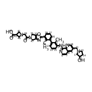 Cc1c(Nc2nccc3cc(CN4CCC(O)C4)cnc23)cccc1-c1cccc(-c2nc3c(o2)CN(C(=O)CN2CC(C(=O)O)C2)C3)c1C